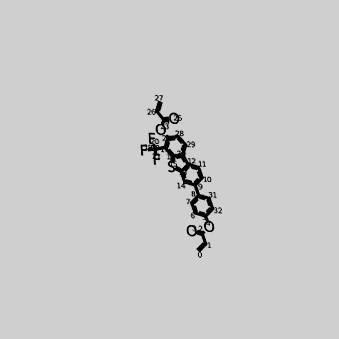 C=CC(=O)Oc1ccc(-c2ccc3c(c2)sc2c(C(F)(F)F)c(OC(=O)C=C)ccc23)cc1